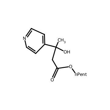 CCCCCOC(=O)CC(C)(O)c1ccncc1